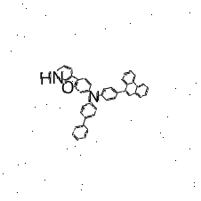 C1=Cc2c(oc3cc(N(c4ccc(-c5ccccc5)cc4)c4ccc(-c5cc6ccccc6c6ccccc56)cc4)ccc23)NC1